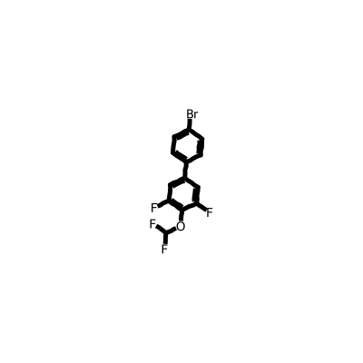 Fc1cc(-c2ccc(Br)cc2)cc(F)c1OC(F)F